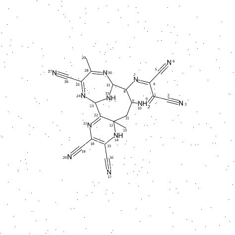 C=C(C#N)/C(C#N)=N\C1C(N)CC2(C)NC(C#N)=C(C#N)N=C2C2N=C(C#N)C(C)=NC1N2